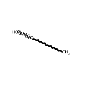 CCCCCCCCCCCCCCCCCCCCOOOOOOOOOO